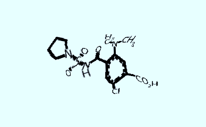 CN(C)c1cc(C(=O)O)c(Cl)cc1C(=O)NS(=O)(=O)N1CCCC1